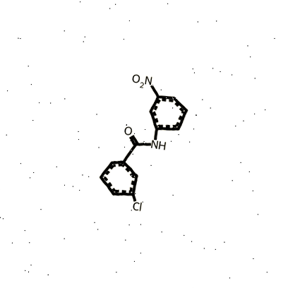 O=C(Nc1cccc([N+](=O)[O-])c1)c1cccc(Cl)c1